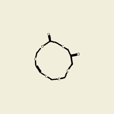 O=C1CCCCCC/C=C\CCOC(=O)CCC1